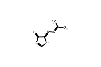 O=C1N=CN/C1=N\N=C(C(F)(F)F)C(F)(F)F